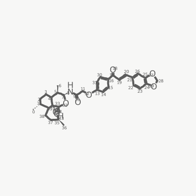 C[C@@H]1CCC2[C@@H](C)[C@H](NC(=O)COc3ccc(C(=O)/C=C/c4ccc5c(c4)OCO5)cc3)O[C@@H]3O[C@@]4(C)CCC1[C@@]23OO4